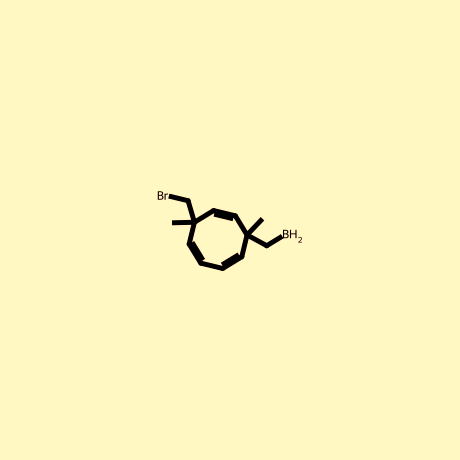 BCC1(C)/C=C\C=C/C(C)(CBr)/C=C\1